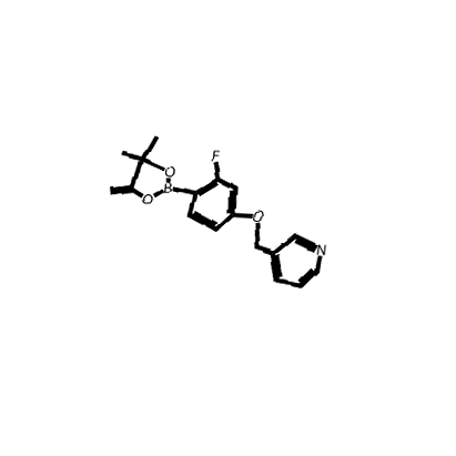 C=C1OB(c2ccc(OCc3cccnc3)cc2F)OC1(C)C